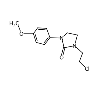 COc1ccc(N2CCN(CCCl)C2=O)cc1